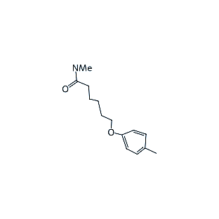 CNC(=O)CCCCCOc1ccc(C)cc1